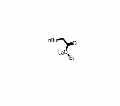 CCCCCC(=O)OCC.[La]